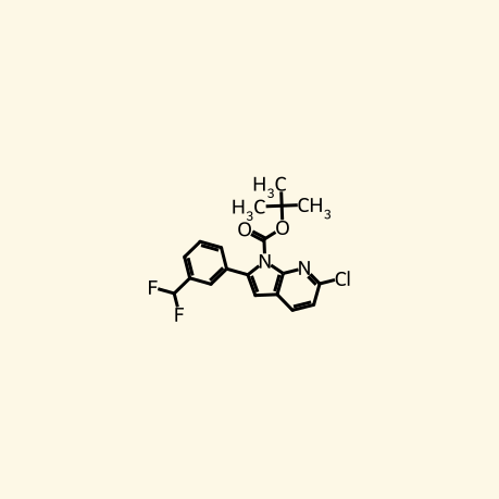 CC(C)(C)OC(=O)n1c(-c2cccc(C(F)F)c2)cc2ccc(Cl)nc21